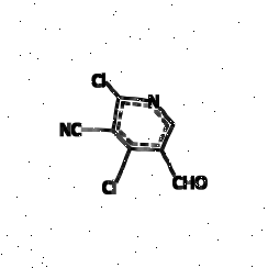 N#Cc1c(Cl)ncc(C=O)c1Cl